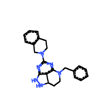 c1ccc(CN2CCC3NNc4nc(N5CCc6ccccc6C5)nc2c43)cc1